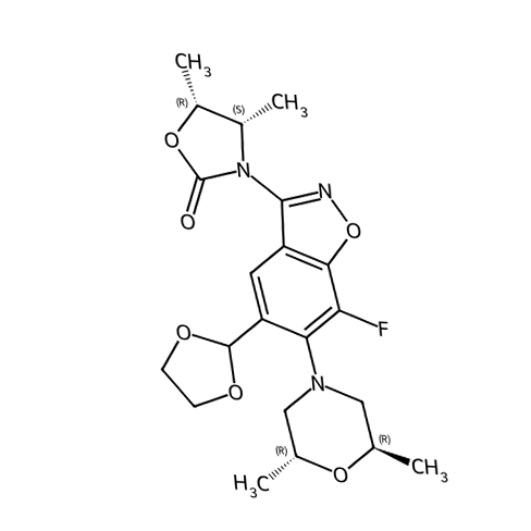 C[C@@H]1CN(c2c(C3OCCO3)cc3c(N4C(=O)O[C@H](C)[C@@H]4C)noc3c2F)C[C@@H](C)O1